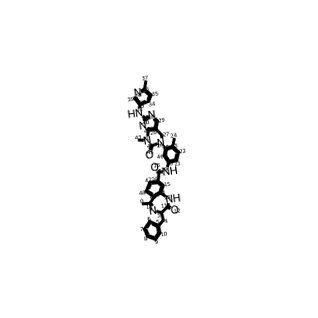 CC1=NC(Cc2ccccc2)C(=O)Nc2cc(C(=O)Nc3ccc(C)c(N4Cc5cnc(Nc6ccc(C)nc6)nc5N(C)C4=O)c3)ccc21